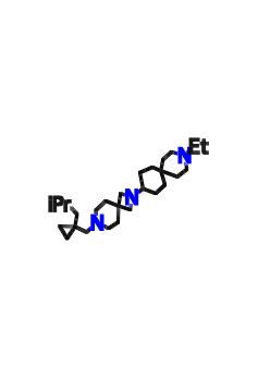 CCN1CCC2(CCC(N3CC4(CCN(CC5(CC(C)C)CC5)CC4)C3)CC2)CC1